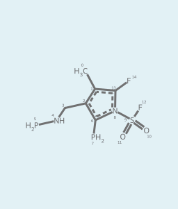 Cc1c(CNP)c(P)n(S(=O)(=O)F)c1F